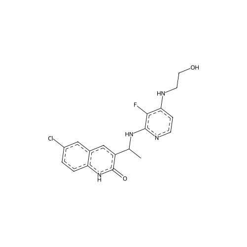 CC(Nc1nccc(NCCO)c1F)c1cc2cc(Cl)ccc2[nH]c1=O